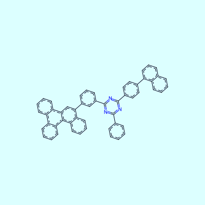 c1ccc(-c2nc(-c3ccc(-c4cccc5ccccc45)cc3)nc(-c3cccc(-c4cc5c6ccccc6c6ccccc6c5c5ccccc45)c3)n2)cc1